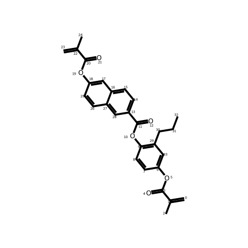 C=C(C)C(=O)Oc1ccc(OC(=O)c2ccc3cc(OC(=O)C(=C)C)ccc3c2)c(CCC)c1